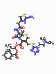 CC(C)C(OC(=O)C1=C(CSc2nnnn2CCN(C)C)CS[C@H]2C(NC(=O)Cc3csc(N)n3)C(=O)N12)OC(=O)C1CCCCC1